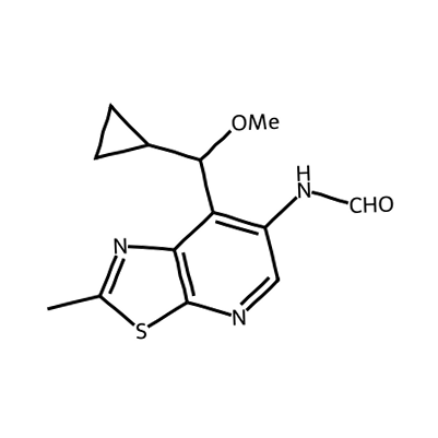 COC(c1c(NC=O)cnc2sc(C)nc12)C1CC1